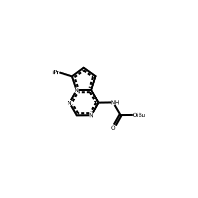 CC(C)COC(=O)Nc1ncnn2c(C(C)C)ccc12